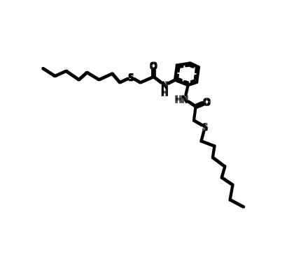 CCCCCCCCSCC(=O)Nc1ccccc1NC(=O)CSCCCCCCCC